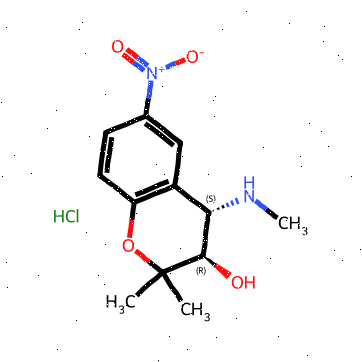 CN[C@H]1c2cc([N+](=O)[O-])ccc2OC(C)(C)[C@@H]1O.Cl